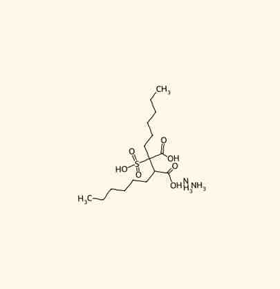 CCCCCCC(C(=O)O)C(CCCCCC)(C(=O)O)S(=O)(=O)O.N.N